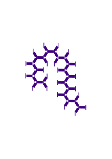 II(I)I(I)I(I)I(I)I(I)I(I)I(I)I(I)I(I)I(I)I(I)I(I)I(I)I(I)I(I)I(I)I(I)I(I)I(I)I(I)I